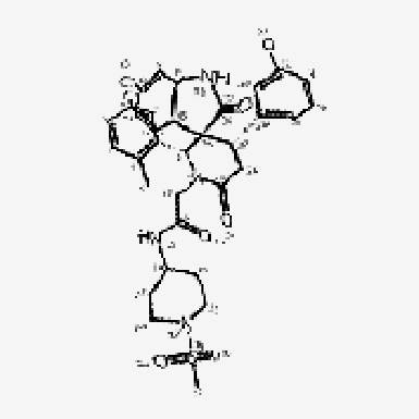 Cc1ccc(F)cc1[C@H]1N(CC(=O)NC2CCN(S(C)(=O)=O)CC2)C(=O)C[C@@H](c2cccc(Cl)c2)[C@]12C(=O)Nc1cc(Cl)ccc12